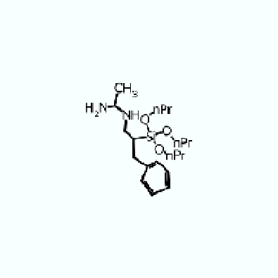 CCCO[Si](OCCC)(OCCC)C(CNC(C)N)Cc1ccccc1